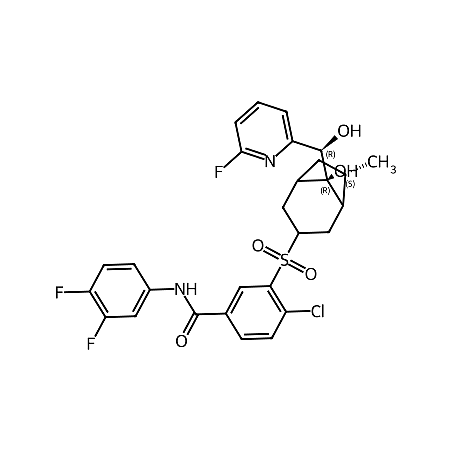 C[C@H]1CC2CC(S(=O)(=O)c3cc(C(=O)Nc4ccc(F)c(F)c4)ccc3Cl)CC1[C@@]2(O)[C@H](O)c1cccc(F)n1